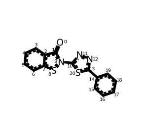 O=c1c2ccccc2sn1-c1nnc(-c2ccccc2)s1